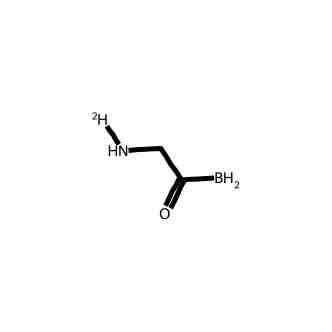 [2H]NCC(B)=O